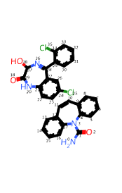 NC(=O)N1c2ccccc2C=Cc2ccccc21.O=C1Nc2ccc(Cl)cc2C(c2ccccc2Cl)=NC1O